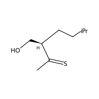 CC(=S)[C@@H](CO)CCC(C)C